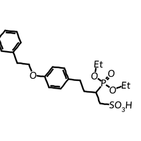 CCOP(=O)(OCC)C(CCc1ccc(OCCc2ccccc2)cc1)CS(=O)(=O)O